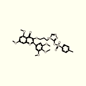 COc1cc(OC)c2c(=O)c(OCCC[SH]3C=NN=C3OS(=O)(=O)c3ccc(C)cc3)c(-c3cc(OC)c(OC)c(OC)c3)oc2c1